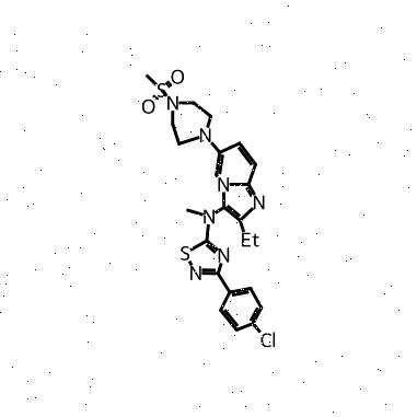 CCc1nc2ccc(N3CCN(S(C)(=O)=O)CC3)cn2c1N(C)c1nc(-c2ccc(Cl)cc2)ns1